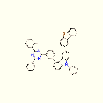 CC1C=CC=CC1c1nc(C2=CC=CC(c3cccc4c3c3cc(-c5ccc6sc7ccccc7c6c5)ccc3n4-c3ccccc3)C2)nc(-c2ccccc2)n1